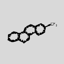 FC(F)(F)c1ccc2c(ccc3c4ccccc4ccc23)c1